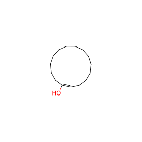 OC1=CCCCCCCCCCCCCC1